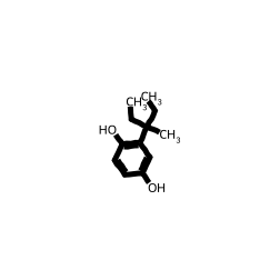 CCC(C)(CC)c1cc(O)ccc1O